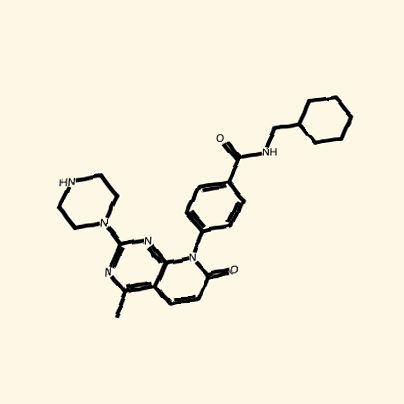 Cc1nc(N2CCNCC2)nc2c1ccc(=O)n2-c1ccc(C(=O)NCC2CCCCC2)cc1